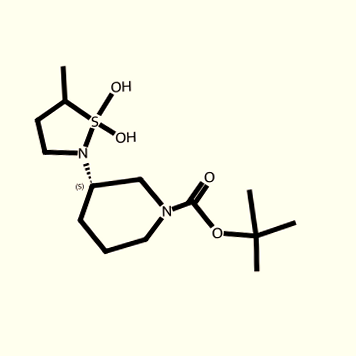 CC1CCN([C@H]2CCCN(C(=O)OC(C)(C)C)C2)S1(O)O